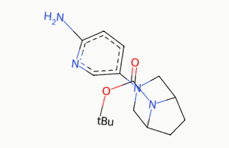 CC(C)(C)OC(=O)N1C2CCC1CN(c1ccc(N)nc1)C2